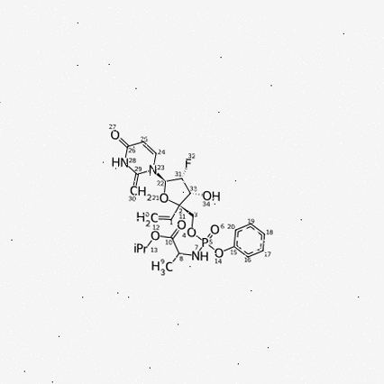 C=C[C@]1(COP(=O)(NC(C)C(=O)OC(C)C)Oc2ccccc2)O[C@@H](N2C=CC(=O)NC2=C)[C@H](F)[C@@H]1O